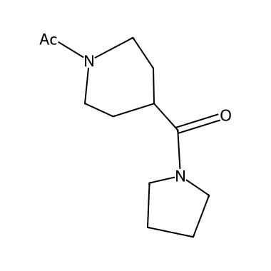 CC(=O)N1CCC(C(=O)N2CCCC2)CC1